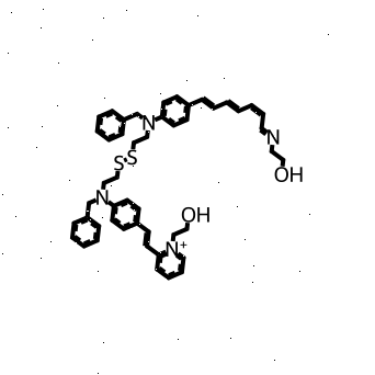 OCC/N=C/C=C\C=C\C=C\c1ccc(N(CCSSCCN(Cc2ccccc2)c2ccc(/C=C/c3cccc[n+]3CCO)cc2)Cc2ccccc2)cc1